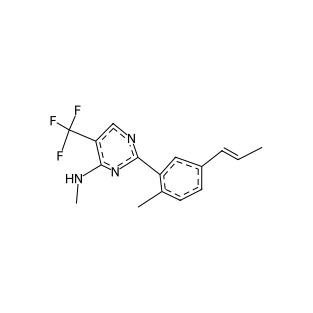 C/C=C/c1ccc(C)c(-c2ncc(C(F)(F)F)c(NC)n2)c1